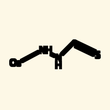 S=CN[NH][Os]